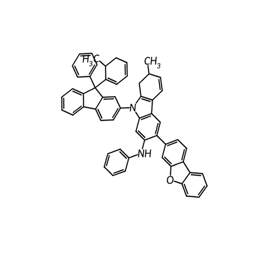 CC1C=Cc2c(n(-c3ccc4c(c3)C(C3=CC=CCC3C)(c3ccccc3)c3ccccc3-4)c3cc(Nc4ccccc4)c(-c4ccc5c(c4)oc4ccccc45)cc23)C1